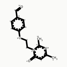 Cc1cc(=O)n(CCOc2ccc(C=O)cc2)c(C)n1